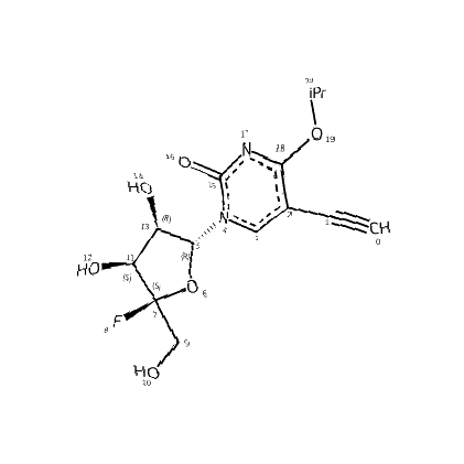 C#Cc1cn([C@@H]2O[C@](F)(CO)[C@@H](O)[C@H]2O)c(=O)nc1OC(C)C